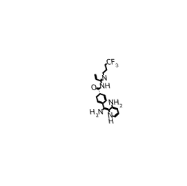 C=C/C(=N\CCCC(F)(F)F)NC(=O)[C@@H]1C=CC(/C(N)=C2/NC=CC=C2N)=CC1